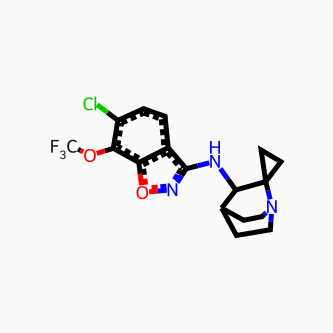 FC(F)(F)Oc1c(Cl)ccc2c(NC3C4CCN(CC4)C34CC4)noc12